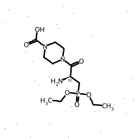 CCOP(=O)(C[C@@H](N)C(=O)N1CCN(C(=O)O)CC1)OCC